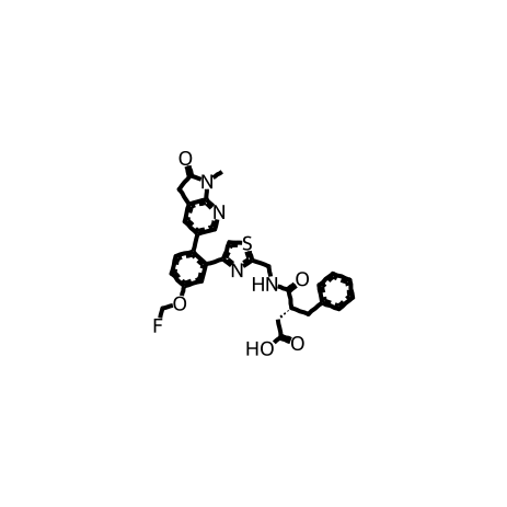 CN1C(=O)Cc2cc(-c3ccc(OCF)cc3-c3csc(CNC(=O)[C@@H](CC(=O)O)Cc4ccccc4)n3)cnc21